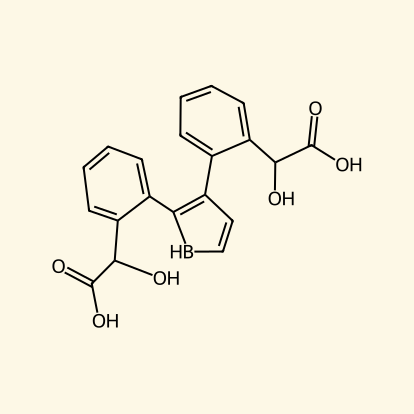 O=C(O)C(O)c1ccccc1C1=C(c2ccccc2C(O)C(=O)O)C=CB1